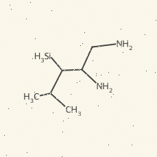 CC(C)C([SiH3])C(N)CN